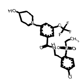 CCS(=O)(=O)c1ccc(Cl)cc1CNC(=O)c1cc(OC(F)(F)F)cc(N2CCC(O)CC2)c1